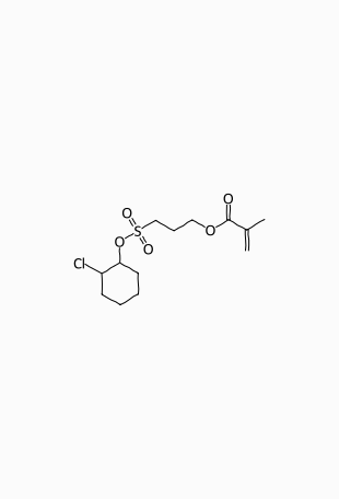 C=C(C)C(=O)OCCCS(=O)(=O)OC1CCCCC1Cl